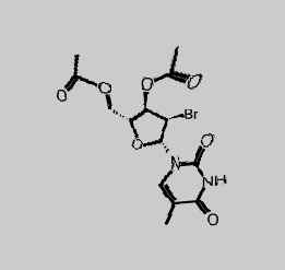 CC(=O)OC[C@H]1O[C@@H](n2cc(C)c(=O)[nH]c2=O)[C@H](Br)[C@@H]1OC(C)=O